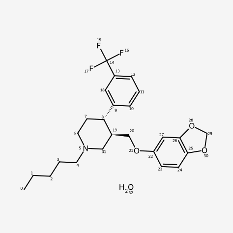 CCCCCN1CC[C@H](c2cccc(C(F)(F)F)c2)[C@@H](COc2ccc3c(c2)OCO3)C1.O